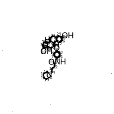 C[C@]12C[C@H](Oc3ccc(NC(=O)CCCN4CCCCC4)cc3)[C@@H]3c4ccc(O)cc4CC[C@H]3[C@@H]1CC[C@@H]2O